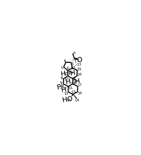 CC(=O)[C@H]1CC[C@H]2[C@@H]3C[C@@H](F)[C@@H]4C[C@@](C)(O)CC[C@@H]4[C@H]3CC[C@]12C